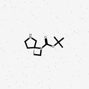 CC(C)(C)OC(=O)N1CC[C@@]12CCNC2